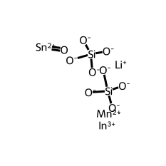 [In+3].[Li+].[Mn+2].[O-][Si]([O-])([O-])[O-].[O-][Si]([O-])([O-])[O-].[O]=[Sn+2]